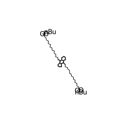 CCCCOC(=O)CCCCCCCCCCCCCCC=c1c2ccccc2c(=CCCCCCCCCCCCCCCC(=O)OCCCC)c2ccccc12